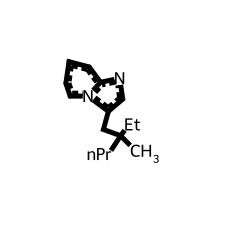 CCCC(C)(CC)Cc1cnc2ccccn12